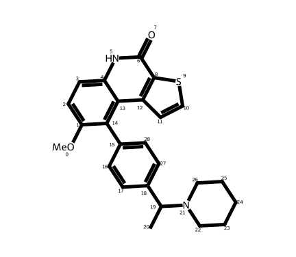 COc1ccc2[nH]c(=O)c3sccc3c2c1-c1ccc(C(C)N2CCCCC2)cc1